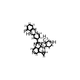 CC1(C)CNCCC1Nc1nc(-c2ccnc(Nc3c(F)cccc3F)c2)nc2cncc(C3CC3)c12